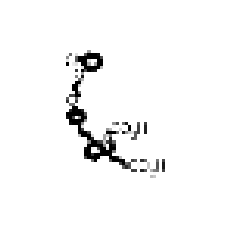 O=C(O)CCCc1cn(CC(=O)O)c2c(C=Cc3ccc(OCCCOc4ccccc4Cl)cc3)cccc12